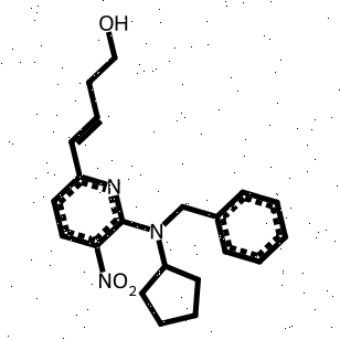 O=[N+]([O-])c1ccc(C=CCCO)nc1N(Cc1ccccc1)C1CCCC1